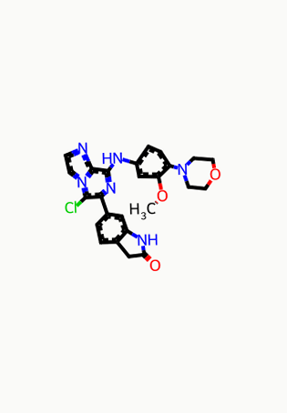 COc1cc(Nc2nc(-c3ccc4c(c3)NC(=O)C4)c(Cl)n3ccnc23)ccc1N1CCOCC1